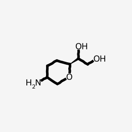 NC1CC[C@@H](C(O)CO)OC1